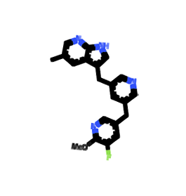 COc1ncc(Cc2[c]ncc(Cc3c[nH]c4ncc(C)cc34)c2)cc1F